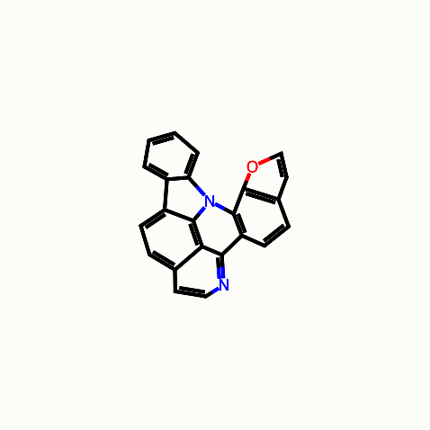 c1ccc2c(c1)c1ccc3ccnc4c5ccc6ccoc6c5n2c1c34